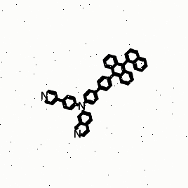 c1ccc2c(-c3c4ccccc4c(-c4ccc(-c5ccc(N(c6ccc(-c7ccncc7)cc6)c6ccc7ccncc7c6)cc5)cc4)c4ccccc34)cccc2c1